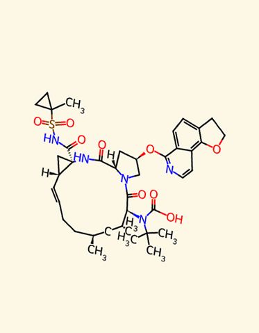 C[C@H]1CC/C=C\[C@@H]2C[C@@]2(C(=O)NS(=O)(=O)C2(C)CC2)NC(=O)[C@@H]2C[C@@H](Oc3nccc4c5c(ccc34)CCO5)CN2C(=O)[C@@H](N(C(=O)O)C(C)(C)C)[C@H](C)C1